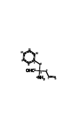 C=CCC(N)(C=O)Cc1ccccc1